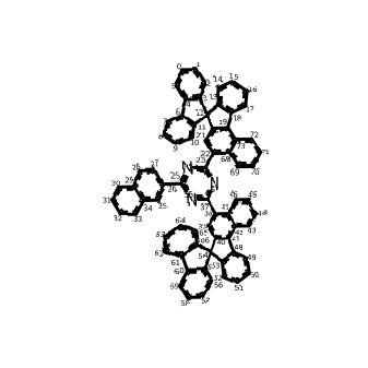 c1ccc2c(c1)-c1ccccc1C21c2ccccc2-c2c1cc(-c1nc(-c3ccc4ccccc4c3)nc(-c3cc4c(c5ccccc35)-c3ccccc3C43c4ccccc4-c4ccccc43)n1)c1ccccc21